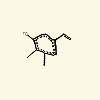 C=Cc1cc(C)c(C)c(O)c1